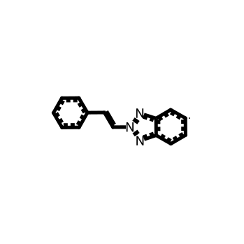 [c]1ccc2nn(/C=C/c3ccccc3)nc2c1